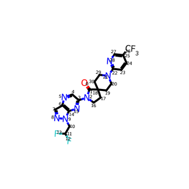 O=C1N(c2cnc3cnn(CC(F)F)c3n2)CCC12CCN(c1ccc(C(F)(F)F)cn1)CC2